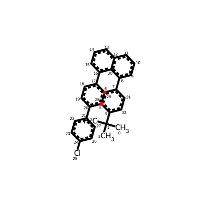 CC(C)(C)c1ccc(-c2cccc3cccc(-c4ccc(-c5ccc(Cl)cc5)cc4)c23)cc1